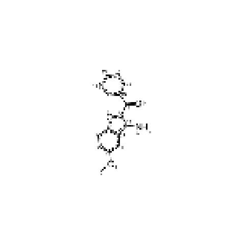 COc1ccc2oc(C(=O)c3cccnc3)c(N)c2c1